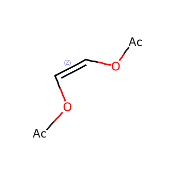 CC(=O)O/C=C\OC(C)=O